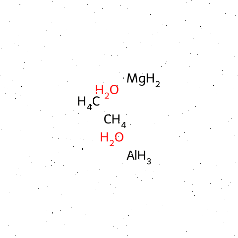 C.C.O.O.[AlH3].[MgH2]